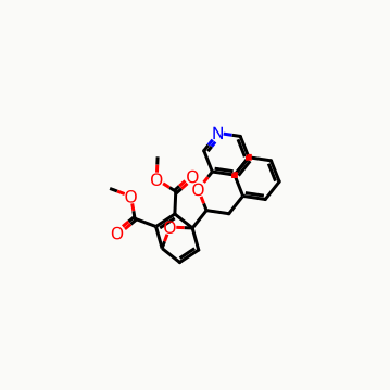 COC(=O)C1=C(C(=O)OC)C2(C(Cc3ccccc3)Oc3cccnc3)C=CC1O2